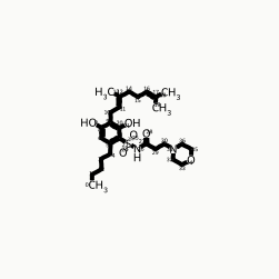 CCCCCc1cc(O)c(C/C=C(\C)CCC=C(C)C)c(O)c1S(=O)(=O)NC(=O)CCN1CCOCC1